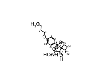 CCCCOc1ccc(S(=O)(=O)C2(C(O)C(=O)NO)CCC2I)cc1